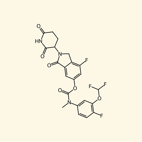 CN(C(=O)Oc1cc(F)c2c(c1)C(=O)N(C1CCC(=O)NC1=O)C2)c1ccc(F)c(OC(F)F)c1